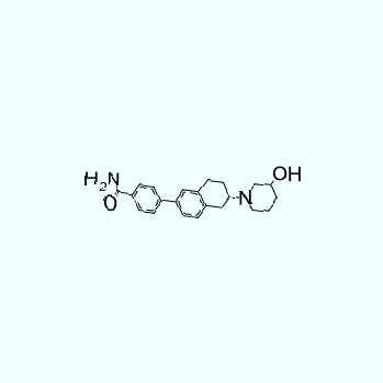 NC(=O)c1ccc(-c2ccc3c(c2)CCC(N2CCCC(O)C2)C3)cc1